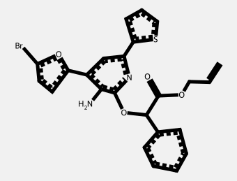 C=CCOC(=O)C(Oc1nc(-c2cccs2)cc(-c2ccc(Br)o2)c1N)c1ccccc1